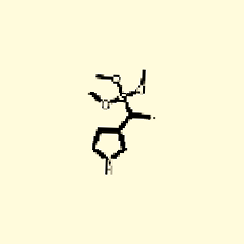 [CH2]C(C1CCNC1)[Si](OC)(OC)OC